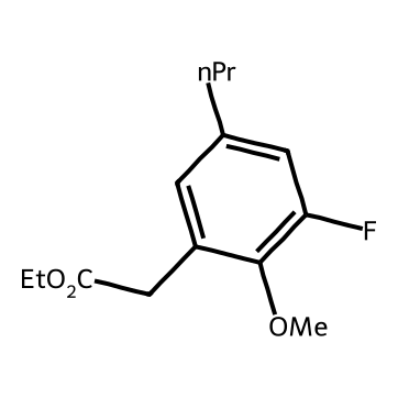 CCCc1cc(F)c(OC)c(CC(=O)OCC)c1